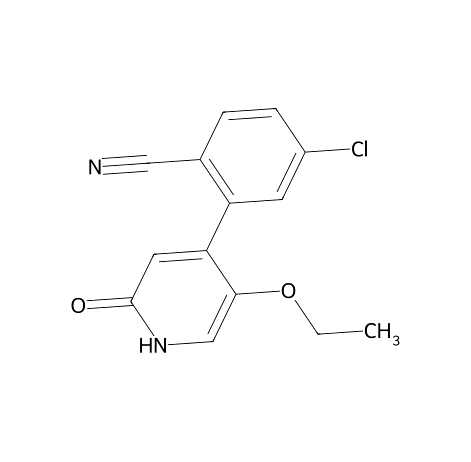 CCOc1c[nH]c(=O)cc1-c1cc(Cl)ccc1C#N